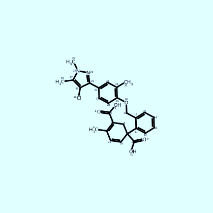 CC1=C(C(=O)O)CC(C(=O)O)(c2ccccc2COc2ccc(-c3nn(C)c(C)c3Cl)cc2C)C=C1